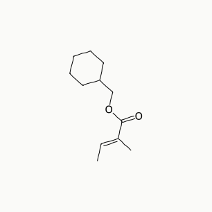 CC=C(C)C(=O)OCC1CCCCC1